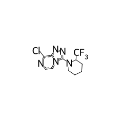 FC(F)(F)C1CCCCN1c1nnc2c(Cl)nccn12